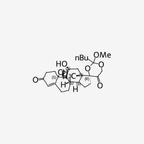 CCCCC1(OC)OCC(=O)[C@]2(CC[C@H]3[C@@H]4CCC5=CC(=O)CC[C@]5(C)[C@@]4(F)[C@@H](O)C[C@@]32C)O1